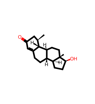 C[C@@H]1CC(=O)C=C2CC[C@@H]3[C@H](CC[C@]4(C)[C@@H](O)CC[C@@H]34)[C@H]21